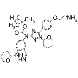 CC(C)(C)OC(=O)N(c1ccc(NC2CCCCO2)c(C=N)c1)c1nc(-c2ccc(OCCN)cc2)n(C2CCCCO2)n1